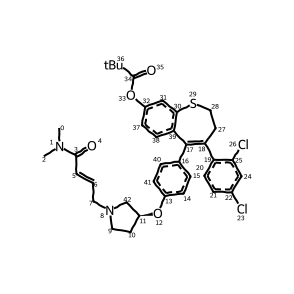 CN(C)C(=O)/C=C/CN1CC[C@H](Oc2ccc(C3=C(c4ccc(Cl)cc4Cl)CCSc4cc(OC(=O)C(C)(C)C)ccc43)cc2)C1